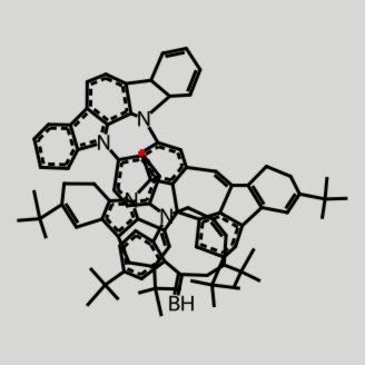 B=C1CC(C(C)(C)C)/C=C\CN(c2ccc(-n3c4ccccc4c4ccc5c(c43)N(c3cc4c6c(c3)-n3c7c(c8c3C(=CC(C(C)(C)C)C8)C6c3cc(C(C)(C)C)cc6c3C(=C4)C3=C6C=C(C(C)(C)C)CC3)C=C(C(C)(C)C)CC7)C3C=CC=CC53)cc2)c2ccc(C(C)(C)C)cc21